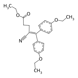 CCOC(=O)CCC(C#N)=C(c1ccc(OCC)cc1)c1ccc(OCC)cc1